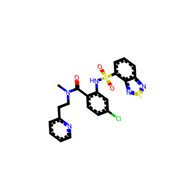 CN(CCc1ccccn1)C(=O)c1ccc(Cl)cc1NS(=O)(=O)c1cccc2nsnc12